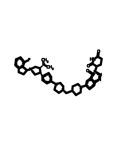 CN(C)[C@H]1CN(C2CCc3cccc(F)c32)C[C@@H]1c1ccc(N2CCN(CC3CCN(c4ccc5nnn(C6CCC(=O)NC6=O)c(=O)c5c4)CC3)CC2)cc1